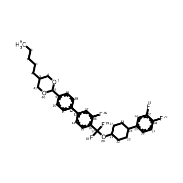 CCCCCC1COC(c2ccc(-c3ccc(C(F)(F)OC4CCC(c5ccc(F)c(F)c5)CC4)c(F)c3)cc2)OC1